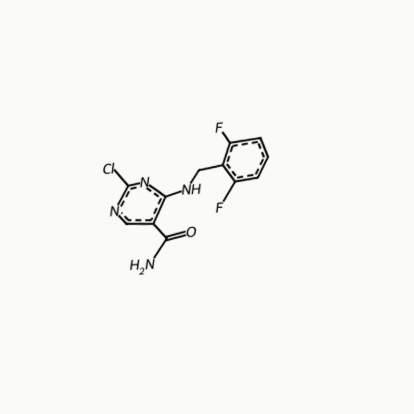 NC(=O)c1cnc(Cl)nc1NCc1c(F)cccc1F